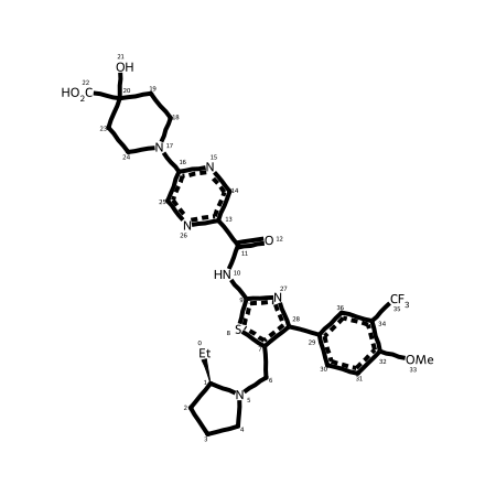 CC[C@@H]1CCCN1Cc1sc(NC(=O)c2cnc(N3CCC(O)(C(=O)O)CC3)cn2)nc1-c1ccc(OC)c(C(F)(F)F)c1